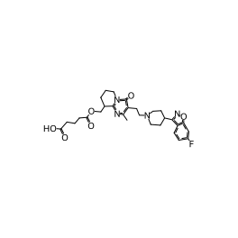 Cc1nc2n(c(=O)c1CCN1CCC(c3noc4cc(F)ccc34)CC1)CCCC2COC(=O)CCCC(=O)O